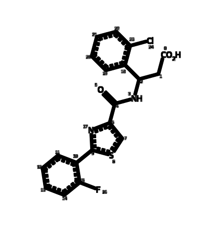 O=C(O)CC(NC(=O)c1csc(-c2ccccc2F)n1)c1ccccc1Cl